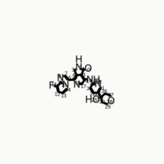 O=C1NCc2c(-c3cnc4c(F)cccn34)ncc(Nc3ccc(C4(O)CCOCC4)cn3)c21